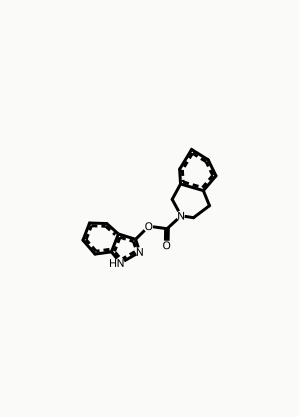 O=C(Oc1n[nH]c2ccccc12)N1CCc2ccccc2C1